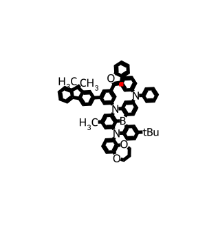 Cc1cc2c3c(c1)N(c1cccc4c1OCCCO4)c1ccc(C(C)(C)C)cc1B3c1ccc(N(c3ccccc3)c3ccccc3)cc1N2c1cc(-c2ccc3c(c2)C(C)(C)c2ccccc2-3)cc(-c2cc3ccccc3o2)c1